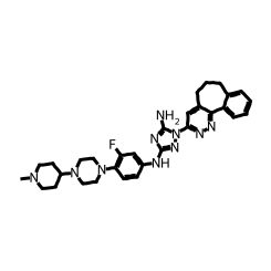 CN1CCC(N2CCN(c3ccc(Nc4nc(N)n(-c5cc6c(nn5)-c5ccccc5CCC6)n4)cc3F)CC2)CC1